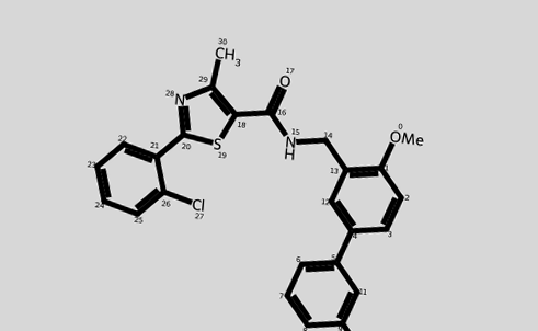 COc1ccc(-c2cccc(C(=O)O)c2)cc1CNC(=O)c1sc(-c2ccccc2Cl)nc1C